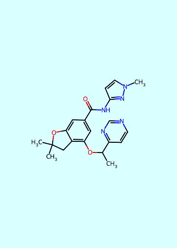 CC(Oc1cc(C(=O)Nc2ccn(C)n2)cc2c1CC(C)(C)O2)c1ccncn1